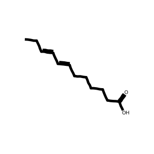 CCC=CC=CCCCCCC(=O)O